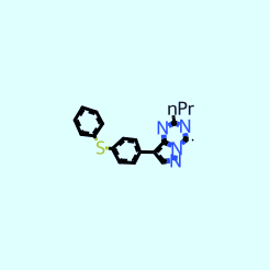 CCCc1n[c]n2ncc(-c3ccc(Sc4ccccc4)cc3)c2n1